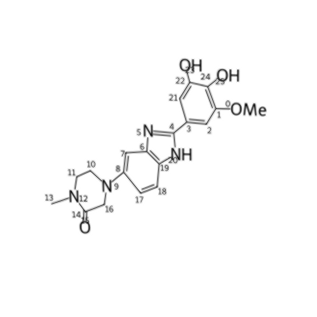 COc1cc(-c2nc3cc(N4CCN(C)C(=O)C4)ccc3[nH]2)cc(O)c1O